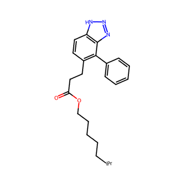 CC(C)CCCCCOC(=O)CCc1ccc2[nH]nnc2c1-c1ccccc1